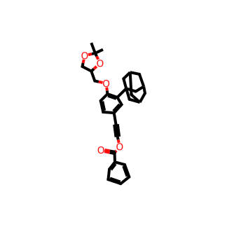 CC1(C)OCC(COc2ccc(C#COC(=O)c3ccccc3)cc2C23CC4CC(CC(C4)C2)C3)O1